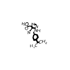 C=C(C)c1ccc(CNc2ncnc(C(=O)O)c2C#N)cc1